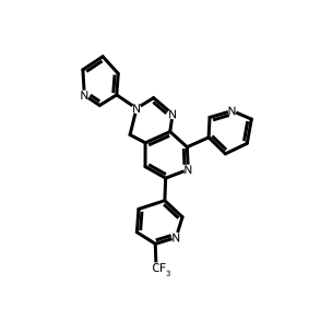 FC(F)(F)c1ccc(-c2cc3c(c(-c4cccnc4)n2)N=CN(c2cccnc2)C3)cn1